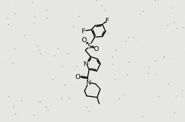 CC1CCN(C(=O)c2cccc(CS(=O)(=O)c3ccc(F)cc3F)n2)CC1